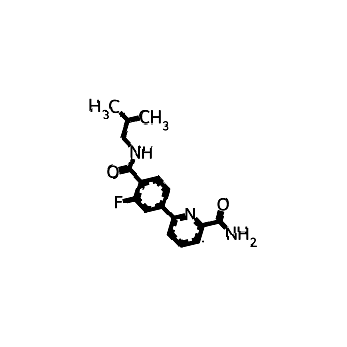 CC(C)CNC(=O)c1ccc(-c2cc[c]c(C(N)=O)n2)cc1F